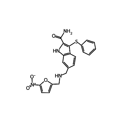 NC(=O)c1[nH]c2cc(CNCc3ccc([N+](=O)[O-])o3)ccc2c1Sc1ccccc1